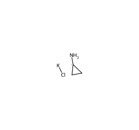 N[C]1CC1.[Cl][K]